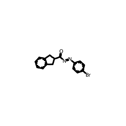 O=C(N=Nc1ccc(Br)cc1)C1Cc2ccccc2C1